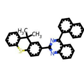 CC1(C)c2ccccc2Sc2ccc(-c3nc(-c4cccc5ccccc45)c4ccccc4n3)cc21